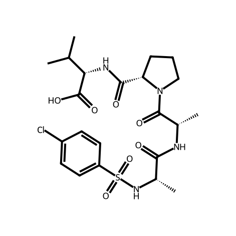 CC(C)[C@H](NC(=O)[C@@H]1CCCN1C(=O)[C@H](C)NC(=O)[C@H](C)NS(=O)(=O)c1ccc(Cl)cc1)C(=O)O